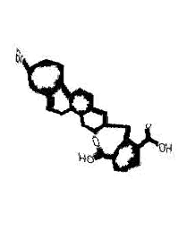 O=C(O)c1cccc(C(=O)O)c1CC1C=c2ccc3c(c2CC1)CC=c1cc(Br)ccc1=3